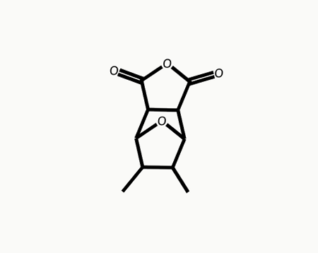 CC1C(C)C2OC1C1C(=O)OC(=O)C21